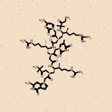 Cc1cn(CC(=O)N(CC(=O)N[C@H](CN(CC(=O)C(C)(C)N)C(=O)Cn2ccc3c(=O)[nH]c(N)cc32)[C@@H](C)CCCNC(=N)N)C[C@@H](NC(=O)CN(C[C@@H](NC(C)(C)C(=O)CN)[C@@H](C)CCCNC(=N)N)C(=O)Cn2ccc(N)nc2=O)[C@@H](C)CCCNC(=N)N)c(=O)[nH]c1=O